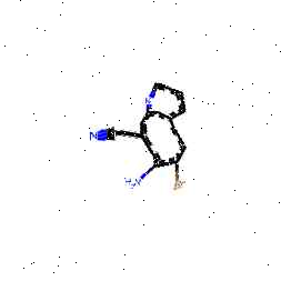 N#Cc1c(N)c(Br)cc2cccnc12